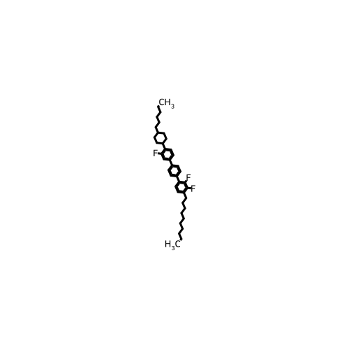 CCCCCCCCCCc1ccc(-c2ccc(-c3ccc(C4CCC(CCCCCC)CC4)c(F)c3)cc2)c(F)c1F